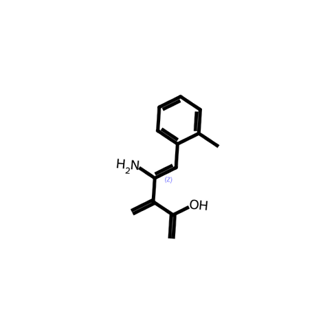 C=C(O)C(=C)/C(N)=C/c1ccccc1C